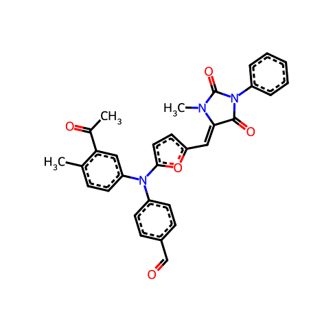 CC(=O)c1cc(N(c2ccc(C=O)cc2)c2ccc(/C=C3/C(=O)N(c4ccccc4)C(=O)N3C)o2)ccc1C